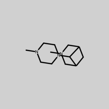 CN1CCN(C2C3CC2CN(C)C3)CC1